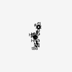 CC(C)(C)c1cnc(C(=O)NC23CCC(NC(=O)COc4ccc(Cl)c(F)c4)(CC2)[C@@H](O)C3)cn1